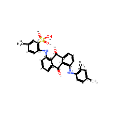 Cc1ccc(Nc2cccc3c2C(=O)c2cccc(Nc4ccc(C)cc4S(=O)(=O)O)c2C3=O)c(C)c1